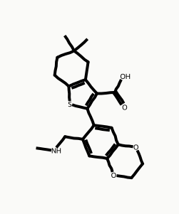 CNCc1cc2c(cc1-c1sc3c(c1C(=O)O)CC(C)(C)CC3)OCCO2